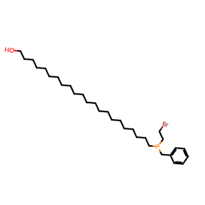 OCCCCCCCCCCCCCCCCCCCCCCP(CCBr)Cc1ccccc1